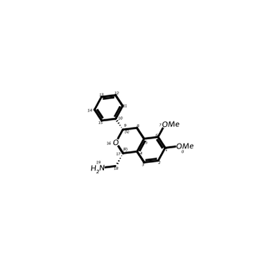 COc1ccc2c(c1OC)C[C@@H](c1ccccc1)O[C@H]2CN